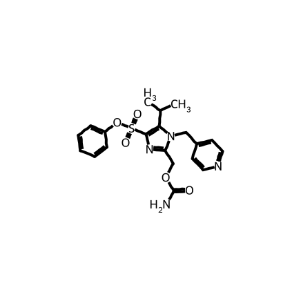 CC(C)c1c(S(=O)(=O)Oc2ccccc2)nc(COC(N)=O)n1Cc1ccncc1